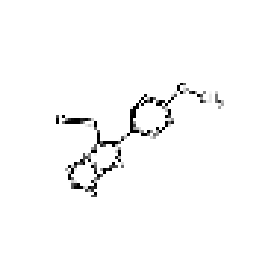 COc1ccc(-c2nc3sccn3c2C=O)cc1